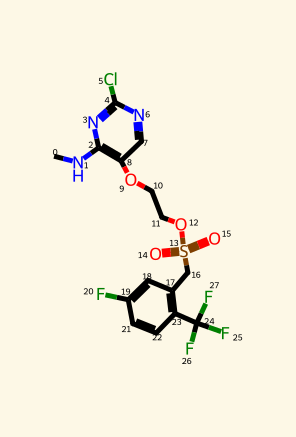 CNc1nc(Cl)ncc1OCCOS(=O)(=O)Cc1cc(F)ccc1C(F)(F)F